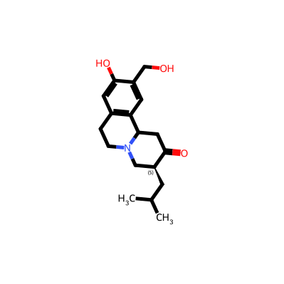 CC(C)C[C@H]1CN2CCc3cc(O)c(CO)cc3C2CC1=O